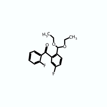 CCOC(OCC)c1ccc(F)cc1C(=O)c1ccccc1F